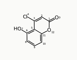 O=c1cc(Cl)c2c(O)cccc2o1